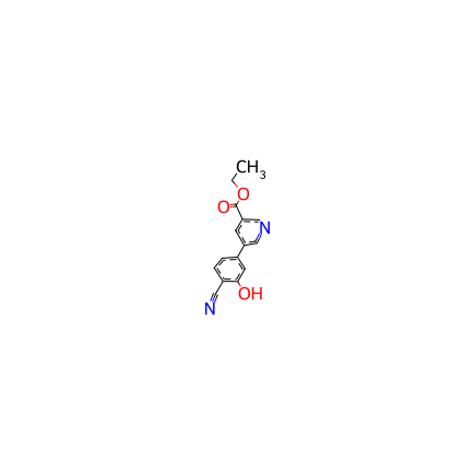 CCOC(=O)c1cncc(-c2ccc(C#N)c(O)c2)c1